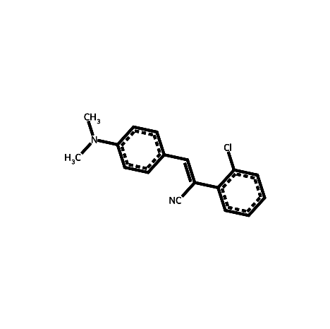 CN(C)c1ccc(/C=C(\C#N)c2ccccc2Cl)cc1